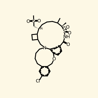 CC1CCC[C@@H](CS(C)(=O)=O)C2CCC2CN2CCCCc3cc(Cl)ccc3COc3ccc(cc32)C(=O)NS(=O)(=O)[C@@H]1C